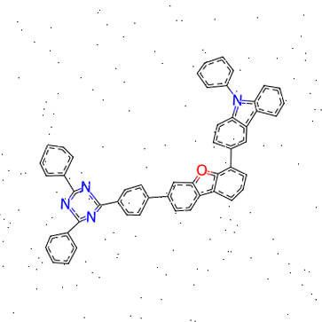 c1ccc(-c2nc(-c3ccccc3)nc(-c3ccc(-c4ccc5c(c4)oc4c(-c6ccc7c(c6)c6ccccc6n7-c6ccccc6)cccc45)cc3)n2)cc1